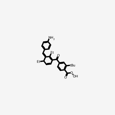 CCC1=C(C(=O)c2ccc(C(=O)OO)c(C(C)(C)C)c2)C=CC(CC)C1=Cc1ccc(N)cc1